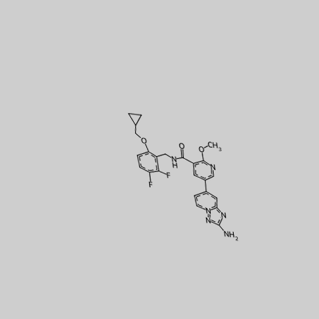 COc1ncc(-c2ccn3nc(N)nc3c2)cc1C(=O)NCc1c(OCC2CC2)ccc(F)c1F